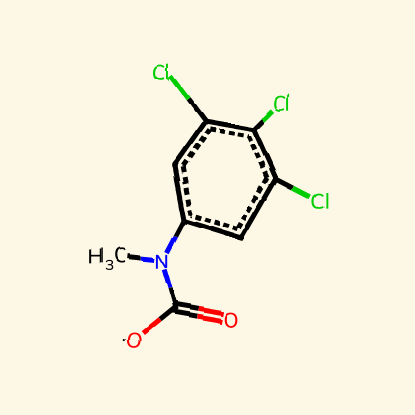 CN(C([O])=O)c1cc(Cl)c(Cl)c(Cl)c1